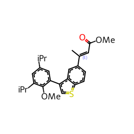 COC(=O)/C=C(\C)c1ccc2scc(-c3cc(C(C)C)cc(C(C)C)c3OC)c2c1